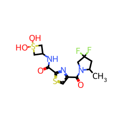 CC1CC(F)(F)CN1C(=O)c1csc(C(=O)NC2CS(O)(O)C2)n1